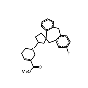 COC(=O)C1=CCCN(C2CCC3(Cc4cc(F)ccc4Cc4ccccc43)C2)C1